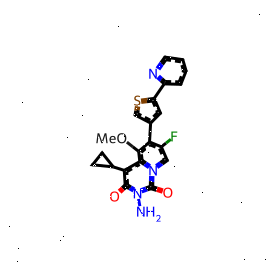 COc1c(-c2csc(-c3ccccn3)c2)c(F)cn2c(=O)n(N)c(=O)c(C3CC3)c12